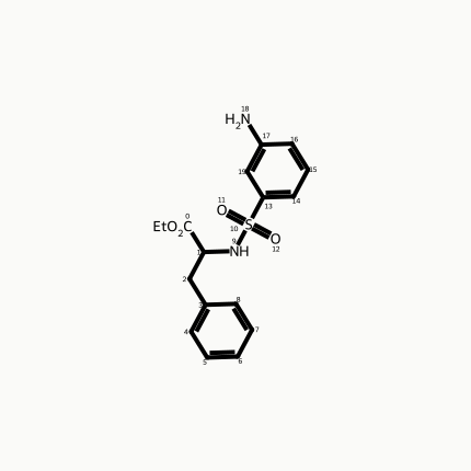 CCOC(=O)C(Cc1ccccc1)NS(=O)(=O)c1cccc(N)c1